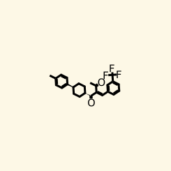 CC(=O)/C(=C\c1cccc(C(F)(F)F)c1)C(=O)[C@H]1CC[C@H](c2ccc(C)cc2)CC1